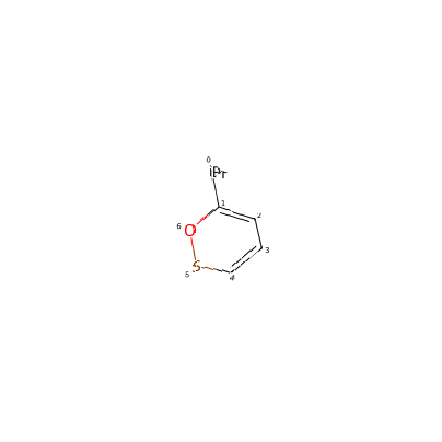 CC(C)C1=CC=CSO1